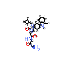 CCN(C)C1(c2ccccc2)CCC2(CC1)CN(CC(=O)NCC(N)=O)C(=O)N2CC1CCC1